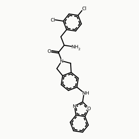 NC(Cc1ccc(Cl)cc1Cl)C(=O)N1Cc2ccc(Nc3nc4ccccc4o3)cc2C1